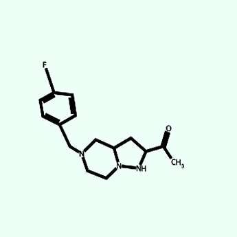 CC(=O)C1CC2CN(Cc3ccc(F)cc3)CCN2N1